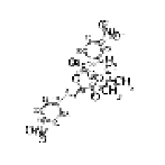 CC(C)(C)OC(=O)[C@@H](CCc1ccc([N+](=O)[O-])cc1)OS(=O)(=O)c1ccc([N+](=O)[O-])cc1